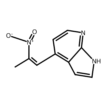 C/C(=C/c1ccnc2[nH]ccc12)[N+](=O)[O-]